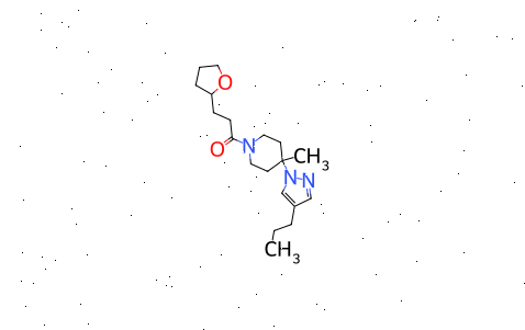 CCCc1cnn(C2(C)CCN(C(=O)CCC3CCCO3)CC2)c1